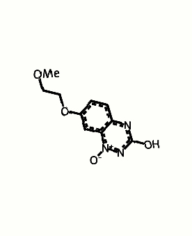 COCCOc1ccc2nc(O)n[n+]([O-])c2c1